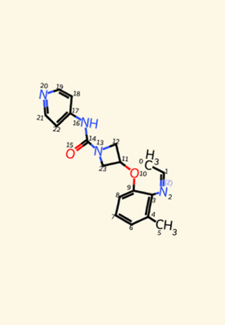 C/C=N\c1c(C)cccc1OC1CN(C(=O)Nc2ccncc2)C1